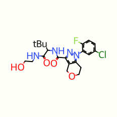 CC(C)(C)C(NC(=O)c1nn(-c2cc(Cl)ccc2F)c2c1COCC2)C(=O)NCCO